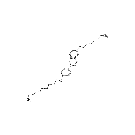 CCCCCCCCCCOc1ccc(-c2ccc3cc(CCCCCCCC)ccc3n2)cc1